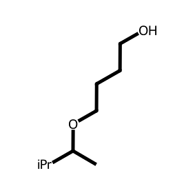 CC(C)C(C)OCCCCO